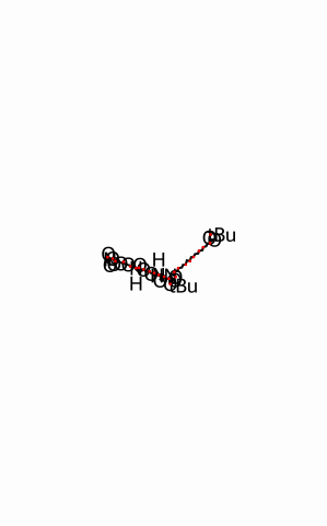 CC(C)(C)OC(=O)CCCCCCCCCCCCCCCCCCC(=O)NC(CCC(=O)NCCOCCOCC(=O)NCCOCCOCC(=O)ON1C(=O)CCC1=O)C(=O)OC(C)(C)C